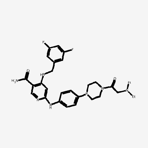 CCN(CC)CC(=O)N1CCN(c2ccc(Nc3cc(NCc4cc(F)cc(F)c4)c(C(N)=O)cn3)cc2)CC1